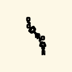 COCCOc1ccc(C2CN(C(=O)C[C@@H]3CCN(C#N)C3)C2)cc1